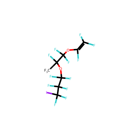 FC(F)=C(F)OC(F)(F)C(F)(OC(F)(F)C(F)(F)C(F)(F)I)C(F)(F)F